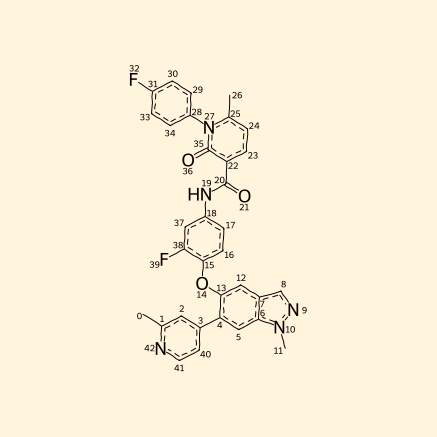 Cc1cc(-c2cc3c(cnn3C)cc2Oc2ccc(NC(=O)c3ccc(C)n(-c4ccc(F)cc4)c3=O)cc2F)ccn1